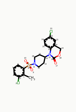 Cc1c(Cl)cccc1S(=O)(=O)N1CCC(N2C(=O)OCc3cc(Cl)ccc32)CC1